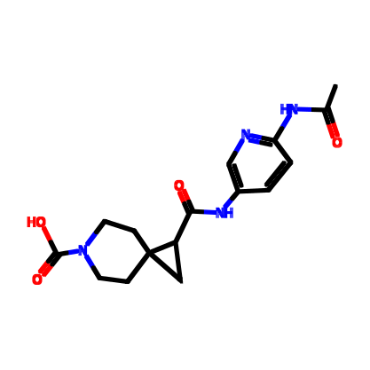 CC(=O)Nc1ccc(NC(=O)C2CC23CCN(C(=O)O)CC3)cn1